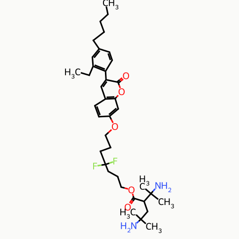 CCCCCc1ccc(-c2cc3ccc(OCCCC(F)(F)CCCOC(=O)C(CC(C)(C)N)C(C)(C)N)cc3oc2=O)c(CC)c1